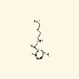 O=C(NCCCCO)c1cc(Br)ccc1Cl